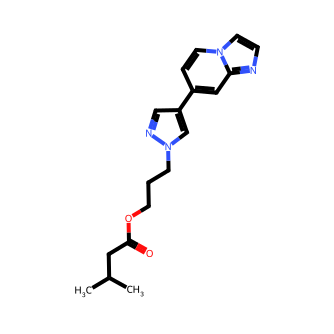 CC(C)CC(=O)OCCCn1cc(-c2ccn3ccnc3c2)cn1